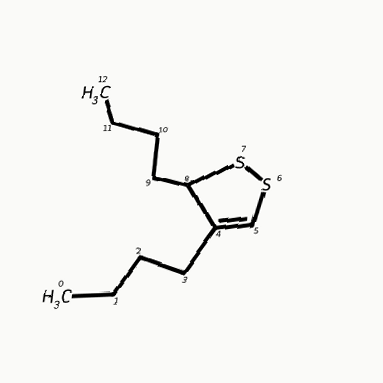 CCCCC1=CSSC1CCCC